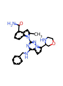 Cc1cc2c(C(N)=O)cccc2n1-c1nc(NCc2ccccc2)c2ccc(C3COCCN3)n2n1